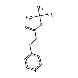 CC(C)(C)OC(=O)CCc1ccncc1